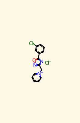 Clc1cccc(-c2nc(C[n+]3ccccc3)no2)c1.[Cl-]